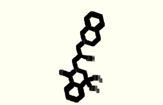 CC1(C)CN(C[C@H](O)CN2CCc3ccccc3C2)C(=O)c2ccccc21